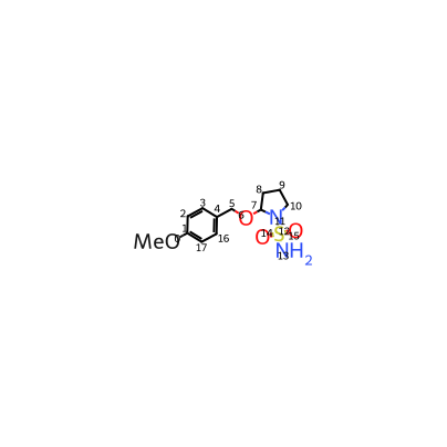 COc1ccc(COC2CCCN2S(N)(=O)=O)cc1